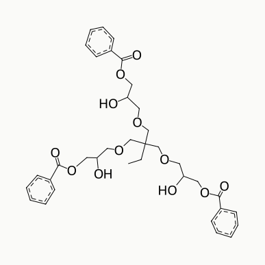 CCC(COCC(O)COC(=O)c1ccccc1)(COCC(O)COC(=O)c1ccccc1)COCC(O)COC(=O)c1ccccc1